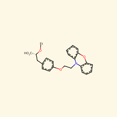 CCO[C@H](Cc1ccc(OCCN2c3ccccc3Oc3ccccc32)cc1)C(=O)O